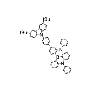 CC(C)(C)c1ccc2c(c1)c1cc(C(C)(C)C)ccc1n2-c1ccc(-c2ccc3c(c2)N(c2ccccc2)c2cccc4c2B3c2ccccc2N4c2ccccc2)cc1